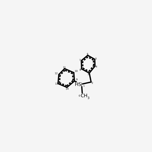 C[SiH](Cc1ccccc1)c1ccccc1